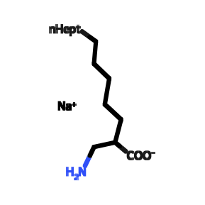 CCCCCCCCCCCCC(CN)C(=O)[O-].[Na+]